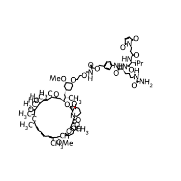 CO[C@H]1C[C@@H]2CC[C@@H](C)[C@@](O)(O2)C(=O)C(=O)N2CCCC[C@H]2C(=O)O[C@H]([C@@H](C)C[C@H]2CC[C@@H](OCCOCNC(=O)OCc3ccc(NC(=O)[C@H](CCCNC(N)=O)NC(=O)[C@@H](NC(=O)CCN4C(=O)C=CC4=O)C(C)C)cc3)[C@H](OC)C2)CC(=O)[C@H](C)/C=C(\C)[C@@H](O)[C@@H](C)C(=O)[C@H](C)C[C@H](C)/C=C/C=C/C=C/1C